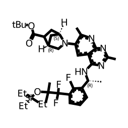 CC[Si](CC)(CC)OC(C)(C)C(F)(F)c1cccc([C@@H](C)Nc2nc(C)nc3nc(C)c(N4C[C@@H]5C[C@H]4CC5C(=O)OC(C)(C)C)cc23)c1F